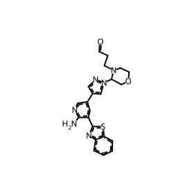 Nc1ncc(-c2cnn(C3COCCN3CCC=O)c2)cc1-c1nc2ccccc2s1